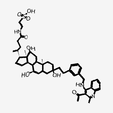 CC(=O)c1c(C)nc2ccccc2c1NCc1cccc(CC[C@@]2(O)CC[C@@]3(C)C(C[C@@H](O)C4C3C[C@H](O)[C@@]3(C)C4CC[C@@H]3C(C)CCC(=O)NCCS(=O)(=O)O)C2)c1